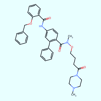 CN1CCN(C(=O)CCCON(C)C(=O)c2ccc(NC(=O)c3ccccc3OCc3ccccc3)cc2-c2ccccc2)CC1